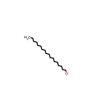 [CH2]CCCCCCCCCCCCCCCCC[O]